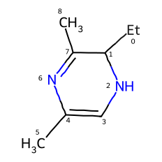 CCC1NC=C(C)N=C1C